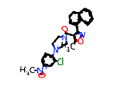 Cc1onc(-c2cccc3ccccc23)c1C(=O)N1CCN(c2ccc([N+](C)=O)cc2Cl)CC1